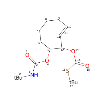 CC(C)(C)NC(=O)OC1CCCC/C=C/C1OC(=O)SC(C)(C)C